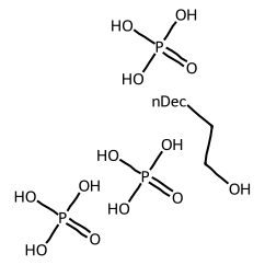 CCCCCCCCCCCCO.O=P(O)(O)O.O=P(O)(O)O.O=P(O)(O)O